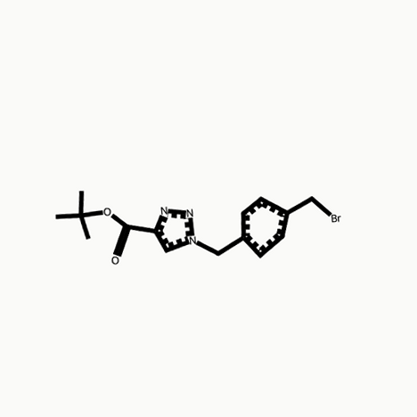 CC(C)(C)OC(=O)c1cn(Cc2ccc(CBr)cc2)nn1